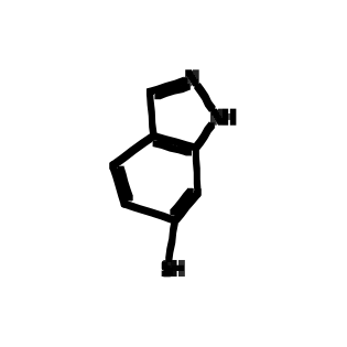 Sc1ccc2cn[nH]c2c1